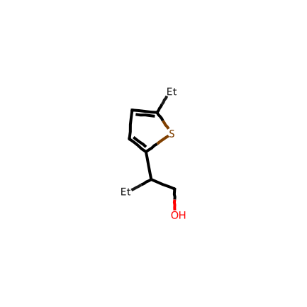 CCc1ccc(C(CC)CO)s1